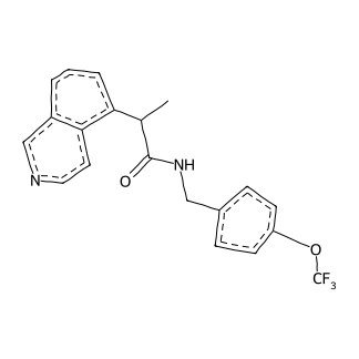 CC(C(=O)NCc1ccc(OC(F)(F)F)cc1)c1cccc2cnccc12